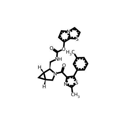 Cc1cccc(-c2sc(C)nc2C(=O)N2C[C@@H]3C[C@@H]3[C@H]2CNC(=O)Oc2ccn3ccsc23)c1